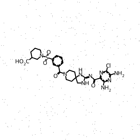 Nc1nc(N)c(C(=O)/N=C2\NCC3(CCN(C(=O)c4cccc(S(=O)(=O)N5CCCC(C(=O)O)C5)c4)CC3)N2)nc1Cl